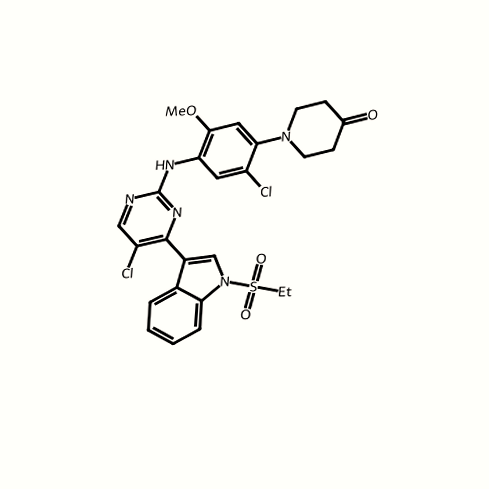 CCS(=O)(=O)n1cc(-c2nc(Nc3cc(Cl)c(N4CCC(=O)CC4)cc3OC)ncc2Cl)c2ccccc21